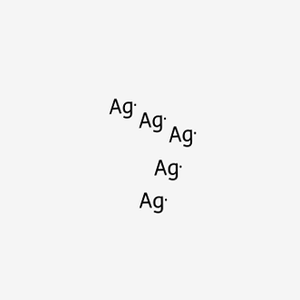 [Ag].[Ag].[Ag].[Ag].[Ag]